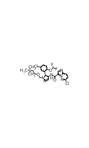 C[Si](C)(C)CCOCn1ncc(NC(=O)c2cnc3ccc(Cl)nn23)c1-c1cc(Cl)ccc1OC(F)F